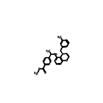 COC(=O)c1ccc(C(C)Nc2nccc3c2N(Cc2cccc(C)c2)CCO3)cc1